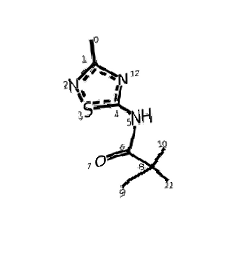 Cc1nsc(NC(=O)C(C)(C)C)n1